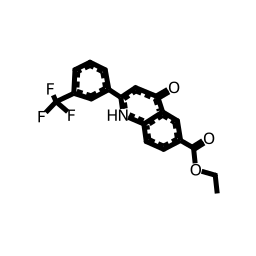 CCOC(=O)c1ccc2[nH]c(-c3cccc(C(F)(F)F)c3)cc(=O)c2c1